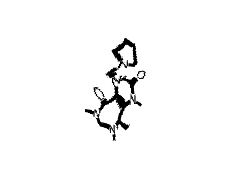 CC1C2=C(C(=O)N(C)C=[N+]1C)[N+](=CN1CCCC1)C(=O)N2C